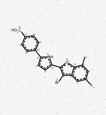 Cc1cc(F)cc2c(Br)c(-c3ccc(-c4ccc(C(=O)O)cc4)[nH]3)oc12